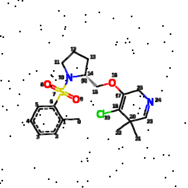 Cc1ccccc1S(=O)(=O)N1CCC[C@@H]1COC1=C(Cl)C(C)(C)C=NC1